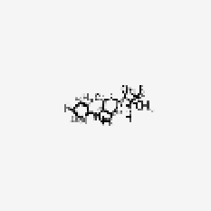 C[C@@H]1CN(C(=O)[C@@](C)(O)C(F)(F)F)Cc2cnn(-c3ccc(F)cn3)c21